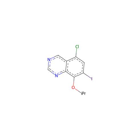 CC(C)Oc1c(I)cc(Cl)c2cncnc12